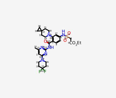 CCOC(=O)CS(=O)(=O)Nc1ccc(C(=O)Nc2nc(C)cc(N3CCC(F)(F)CC3)n2)c(N2CCC3(CC2)CC3)c1